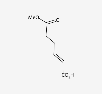 COC(=O)CCC=CC(=O)O